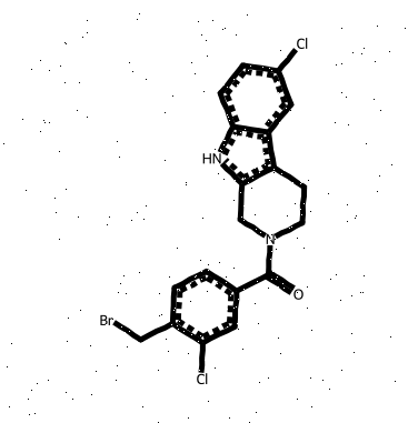 O=C(c1ccc(CBr)c(Cl)c1)N1CCc2c([nH]c3ccc(Cl)cc23)C1